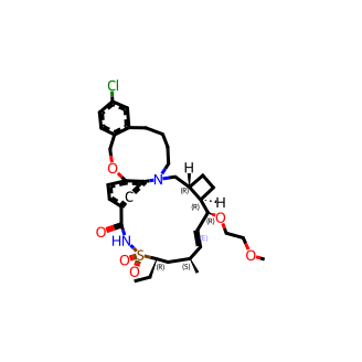 CC[C@@H]1C[C@H](C)/C=C/[C@H](OCCOC)[C@@H]2CC[C@H]2CN2CCCCc3cc(Cl)ccc3COc3ccc(cc32)C(=O)NS1(=O)=O